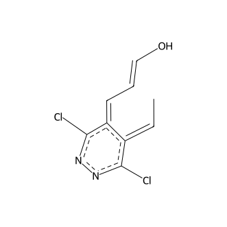 C/C=c1/c(Cl)nnc(Cl)/c1=C/C=C/O